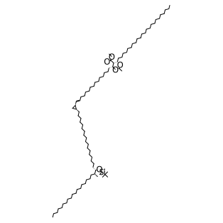 CCCCCCCCCCCCCCCCCCCCCCCC[C@@H](C(=O)OC)[C@@H](CCCCCCCCCCCCCC=C[C@@H]1C[C@@H]1CCCCCCCCCCCCCCCCCC[C@H](O[Si](C)(C)C(C)(C)C)[C@@H](C)CCCCCCCCCCCCCCCCCC)OC(C)=O